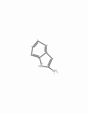 Nc1cc2c[c]ccc2[nH]1